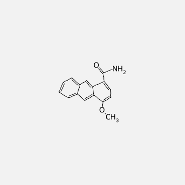 COc1ccc(C(N)=O)c2cc3ccccc3cc12